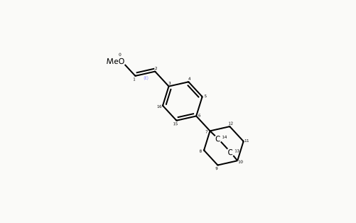 CO/C=C/c1ccc(C23CCC(CC2)CC3)cc1